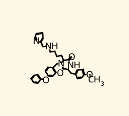 COc1ccc(CC2NC(=O)C(CCCCNCc3ccccn3)N(Cc3ccc(Oc4ccccc4)cc3)C2=O)cc1